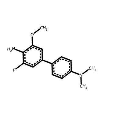 COc1cc(-c2ccc(N(C)C)cc2)cc(F)c1N